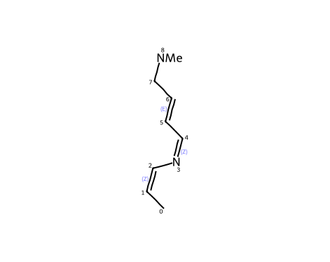 C\C=C/N=C\C=C\CNC